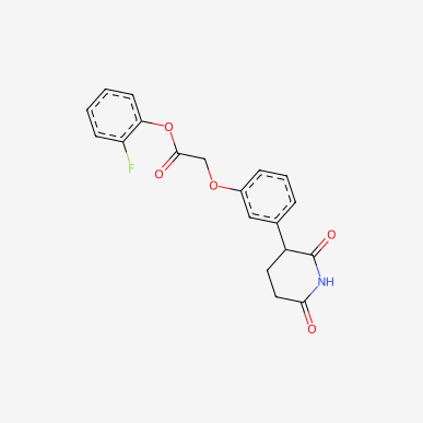 O=C1CCC(c2cccc(OCC(=O)Oc3ccccc3F)c2)C(=O)N1